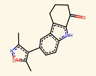 Cc1noc(C)c1-c1ccc2[nH]c3c(c2c1)CCCC3=O